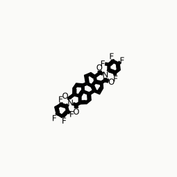 O=C1c2ccc3c4ccc5c6c(ccc(c7ccc(c2c37)C(=O)N1c1c(F)cc(F)c(F)c1F)c64)C(=O)N(c1c(F)cc(F)c(F)c1F)C5=O